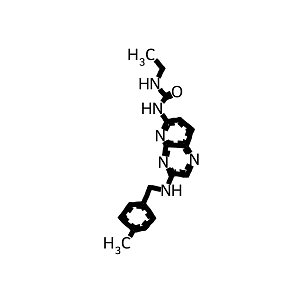 CCNC(=O)Nc1ccc2ncc(NCc3ccc(C)cc3)nc2n1